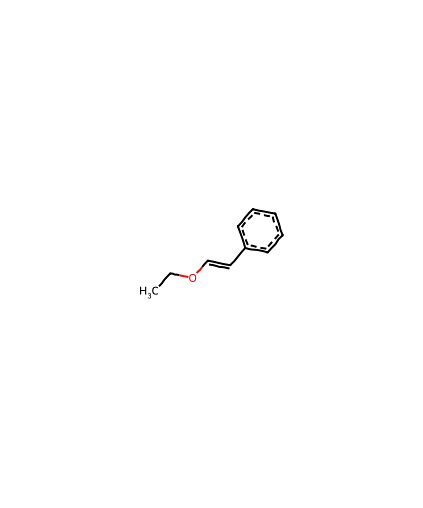 CCOC=Cc1ccccc1